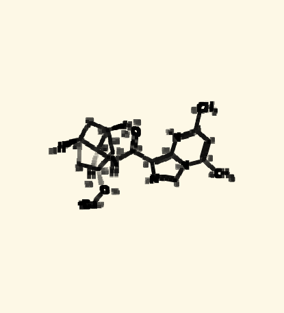 Cc1cc(C)n2cnc(C(=O)N[C@H]3[C@@H]4C[C@@H](OC(C)(C)C)C[C@H]3C4)c2n1